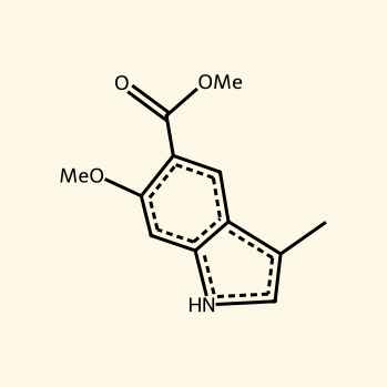 COC(=O)c1cc2c(C)c[nH]c2cc1OC